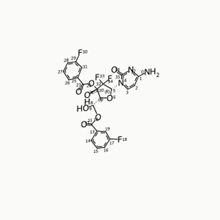 Nc1ccn([C@@H]2O[C@H](C(O)OC(=O)c3cccc(F)c3)[C@](O)(OC(=O)c3cccc(F)c3)C2(F)F)c(=O)n1